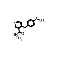 CNC(=O)c1cnccc1Cc1ccc(SC)cc1